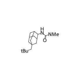 CNC(=O)NC1C2CC3CC1CC(CC(C)(C)C)(C3)C2